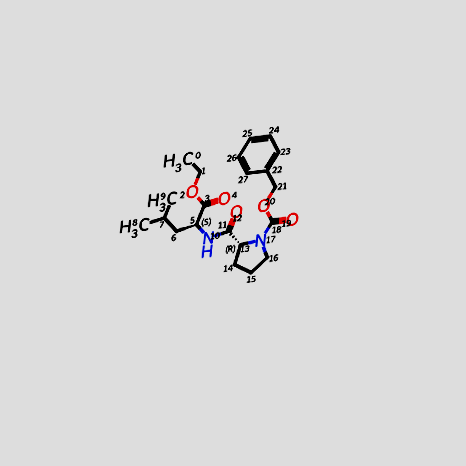 CCOC(=O)[C@H](CC(C)C)NC(=O)[C@H]1CCCN1C(=O)OCc1ccccc1